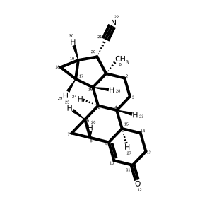 C[C@]12CC[C@H]3[C@@H]([C@H]4C[C@H]4C4=CC(=O)CC[C@@H]43)[C@@H]1[C@@H]1C[C@@H]1[C@@H]2C#N